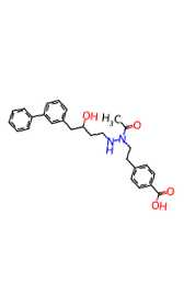 CC(=O)N(CCc1ccc(C(=O)O)cc1)NCCC(O)Cc1cccc(-c2ccccc2)c1